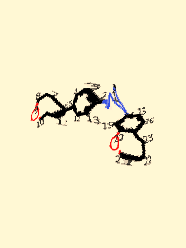 CN(c1ccc(C2CCOCC2)cc1)c1ccc2c(c1)OCCC2